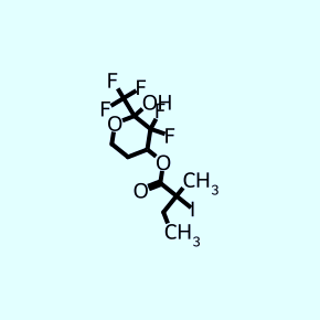 CCC(C)(I)C(=O)OC1CCOC(O)(C(F)(F)F)C1(F)F